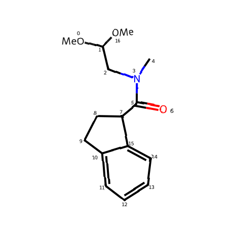 COC(CN(C)C(=O)C1CCc2ccccc21)OC